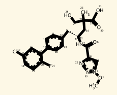 COn1cc(C(=O)N[C@H](Cc2ccc(-c3cc(Cl)ccc3F)cc2)CC(C)(CO)C(=O)O)nn1